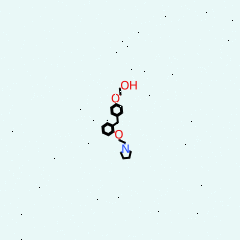 OCCOc1ccc(Cc2[c]cccc2OCCN2CCCC2)cc1